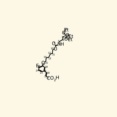 CCO[Si](CCCNC(=O)OCCCCCCOc1cc(C=CC(=O)O)ccc1F)(OCC)OCC